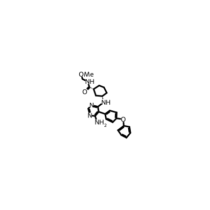 COCNC(=O)[C@@H]1CCC[C@H](Nc2ncnc(N)c2-c2ccc(Oc3ccccc3)cc2)C1